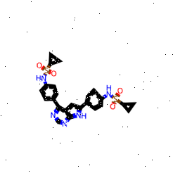 O=S(=O)(Nc1ccc(-c2cc3c(-c4ccc(NS(=O)(=O)C5CC5)cc4)ncnc3[nH]2)cc1)C1CC1